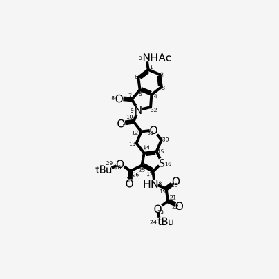 CC(=O)Nc1ccc2c(c1)C(=O)N(C(=O)C1Cc3c(sc(NC(=O)C(=O)OC(C)(C)C)c3C(=O)OC(C)(C)C)CO1)C2